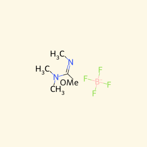 CN=C(OC)N(C)C.F[B-](F)(F)F